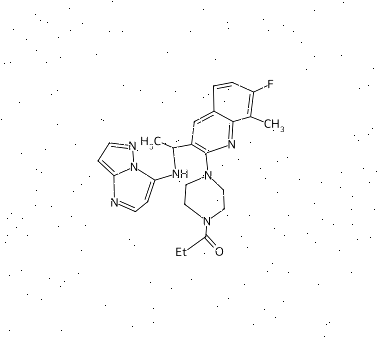 CCC(=O)N1CCN(c2nc3c(C)c(F)ccc3cc2C(C)Nc2ccnc3ccnn23)CC1